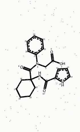 O=C(O)CN(C(=O)C1(NC(=O)c2ccc[nH]2)CCCCC1)c1ccccc1